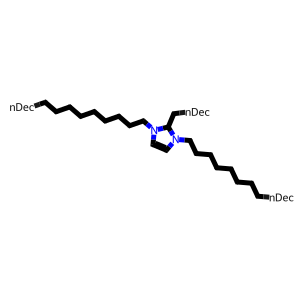 CCCCCCCCCCCCCCCCCCCN1C=CN(CCCCCCCCCCCCCCCCCC)C1CCCCCCCCCCC